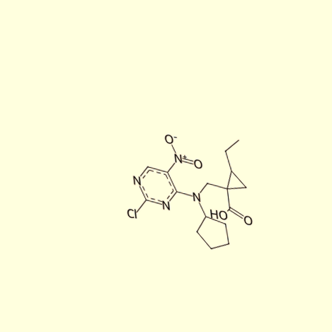 CCC1CC1(CN(c1nc(Cl)ncc1[N+](=O)[O-])C1CCCC1)C(=O)O